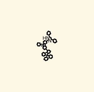 C1=C(c2ccccc2)N=C(c2ccc3c(c2)c2cc(-c4cccc5c4-c4ccccc4C5(c4ccccc4)c4ccccc4)ccc2n3-c2ccccc2)NC1c1ccccc1